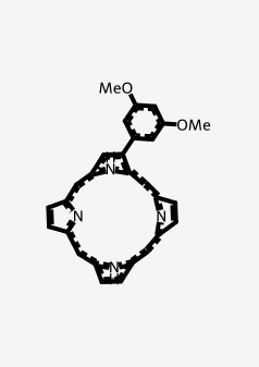 COc1cc(OC)cc(-c2cc3cc4nc(cc5ccc(cc6nc(cc2[nH]3)C=C6)[nH]5)C=C4)c1